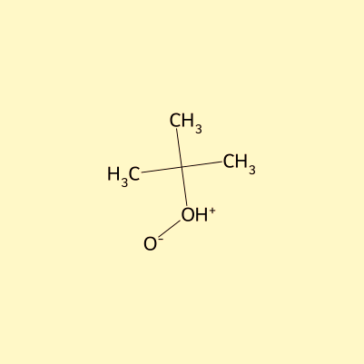 CC(C)(C)[OH+][O-]